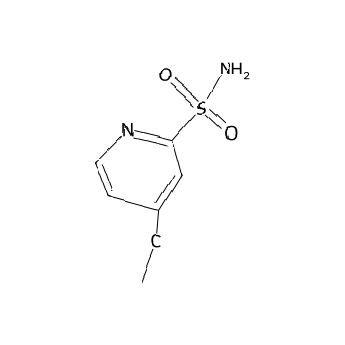 CCc1ccnc(S(N)(=O)=O)c1